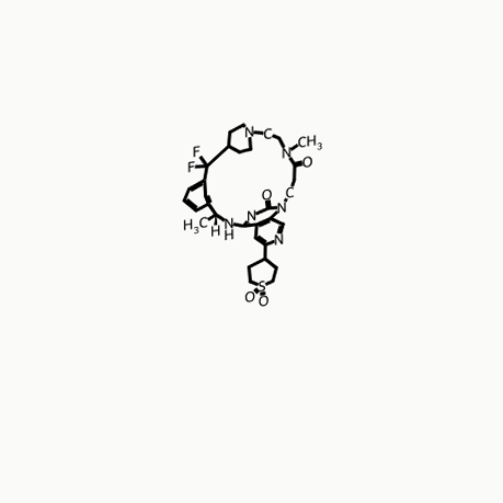 C[C@H]1Nc2nc(=O)n(c3cnc(C4CCS(=O)(=O)CC4)cc23)CCC(=O)N(C)CCN2CCC(CC2)C(F)(F)c2cccc1c2